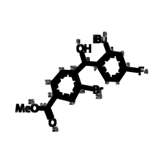 CCC(C)c1cc(F)ccc1C(O)c1ccc(C(=O)OC)cc1Br